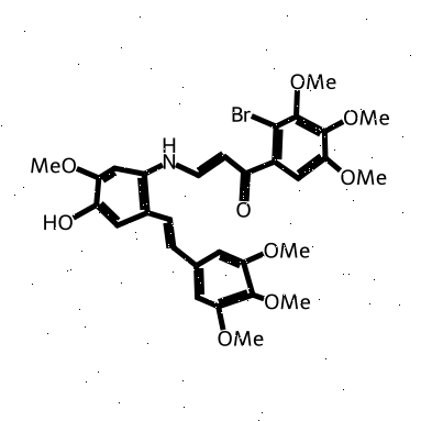 COc1cc(NC=CC(=O)c2cc(OC)c(OC)c(OC)c2Br)c(C=Cc2cc(OC)c(OC)c(OC)c2)cc1O